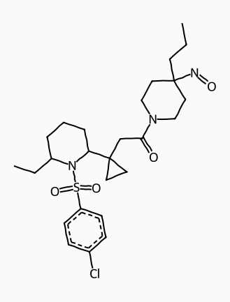 CCCC1(N=O)CCN(C(=O)CC2(C3CCCC(CC)N3S(=O)(=O)c3ccc(Cl)cc3)CC2)CC1